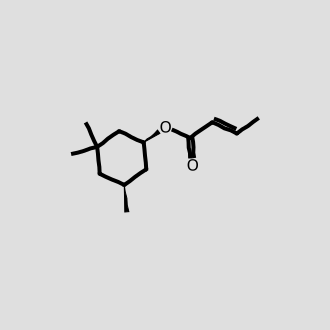 CC=CC(=O)O[C@H]1C[C@@H](C)CC(C)(C)C1